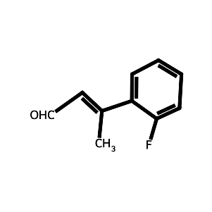 C/C(=C\C=O)c1ccccc1F